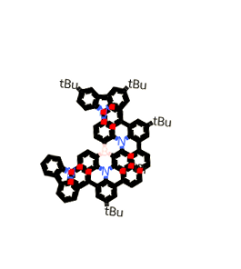 CC(C)c1cc2c3c(c1)N(c1c(-c4ccccc4)cc(C(C)(C)C)cc1-c1ccccc1)c1cc(-n4c5ccc(C(C)(C)C)cc5c5cc(C(C)(C)C)ccc54)ccc1B3c1ccc(-n3c4ccccc4c4ccccc43)cc1N2c1c(-c2ccccc2)cc(C(C)(C)C)cc1-c1ccccc1